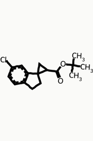 CC(C)(C)OC(=O)C1CC12CCc1ccc(Cl)cc12